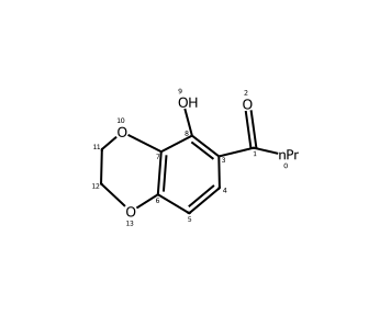 CCCC(=O)c1ccc2c(c1O)OCCO2